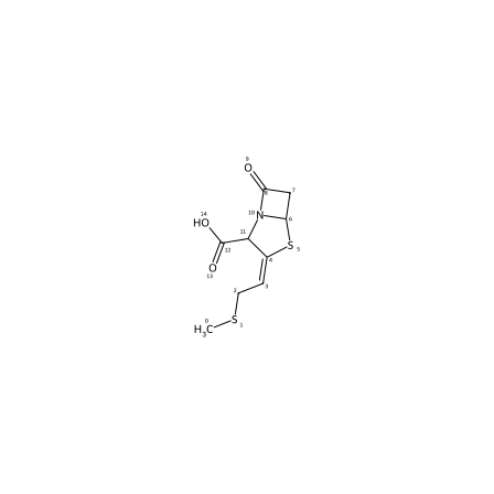 CSC/C=C1/SC2CC(=O)N2C1C(=O)O